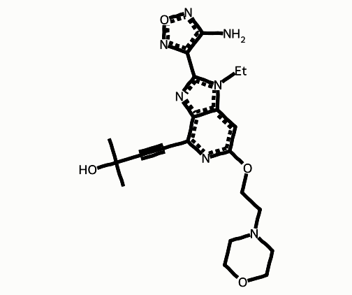 CCn1c(-c2nonc2N)nc2c(C#CC(C)(C)O)nc(OCCN3CCOCC3)cc21